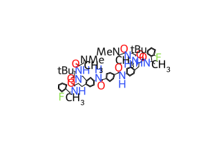 CN[C@@H](C)C(=O)NC(C(=O)N1Cc2cc(NC(=O)c3ccc(C(=O)Nc4ccc5c(c4)CN(C(=O)C(NC(=O)[C@H](C)NC)C(C)(C)C)C(C(=O)NC(C)c4ccccc4F)C5)cc3)ccc2CC1C(=O)NC(C)c1ccccc1F)C(C)(C)C